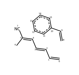 C=CC=CC=C(C)C#N.C=Cc1ccccc1